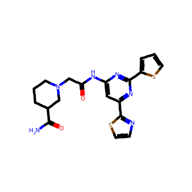 NC(=O)C1CCCN(CC(=O)Nc2cc(-c3nccs3)nc(-c3cccs3)n2)C1